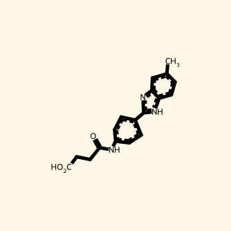 Cc1ccc2[nH]c(-c3ccc(NC(=O)CCC(=O)O)cc3)nc2c1